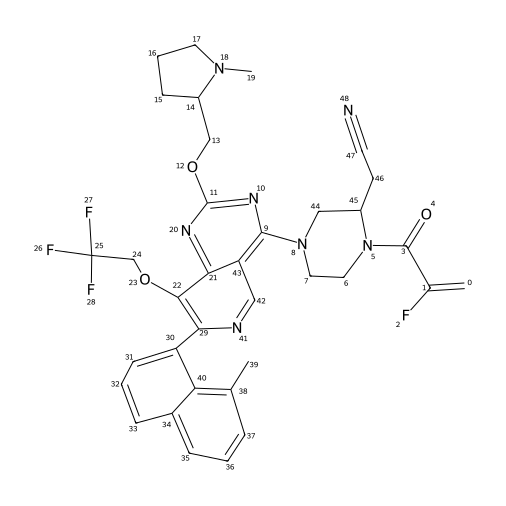 C=C(F)C(=O)N1CCN(c2nc(OCC3CCCN3C)nc3c(OCC(F)(F)F)c(-c4cccc5cccc(C)c45)ncc23)CC1CC#N